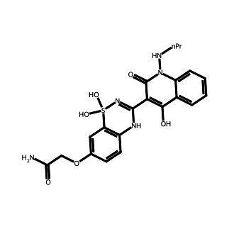 CCCNn1c(=O)c(C2=NS(O)(O)c3cc(OCC(N)=O)ccc3N2)c(O)c2ccccc21